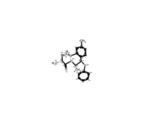 COc1cc(C)ccc1[C@@H](Oc1ccccc1)[C@H](C)OC(=O)[C@H](C)N